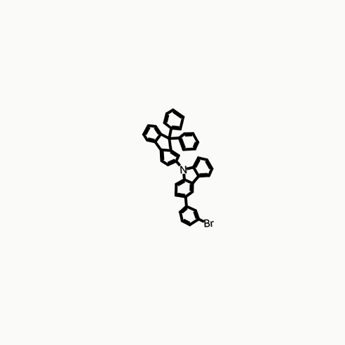 Brc1cccc(-c2ccc3c(c2)c2ccccc2n3-c2ccc3c(c2)C(c2ccccc2)(c2ccccc2)c2ccccc2-3)c1